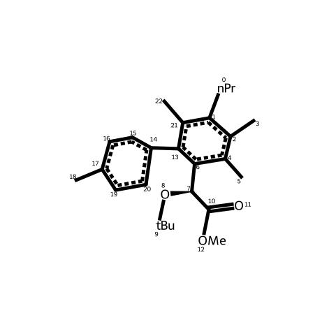 CCCc1c(C)c(C)c([C@H](OC(C)(C)C)C(=O)OC)c(-c2ccc(C)cc2)c1C